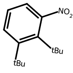 CC(C)(C)c1cccc([N+](=O)[O-])c1C(C)(C)C